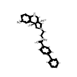 N#Cc1ccc2c(c1)[C@H]1CN(CCNC(=O)c3ccc(-c4ccccc4)cc3)C[C@@H]1CO2